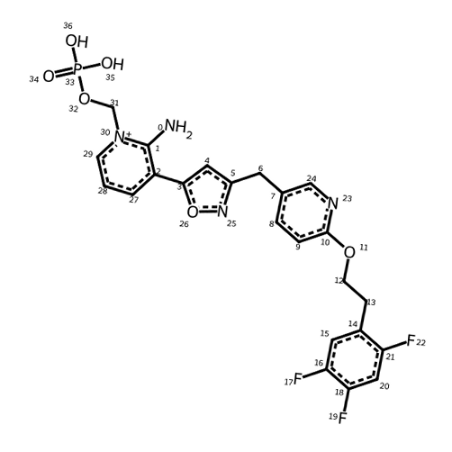 Nc1c(-c2cc(Cc3ccc(OCCc4cc(F)c(F)cc4F)nc3)no2)ccc[n+]1COP(=O)(O)O